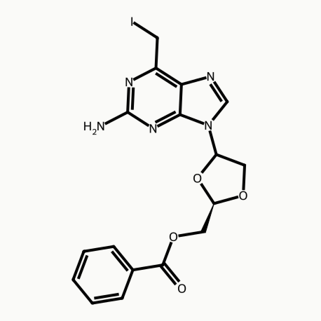 Nc1nc(CI)c2ncn(C3CO[C@@H](COC(=O)c4ccccc4)O3)c2n1